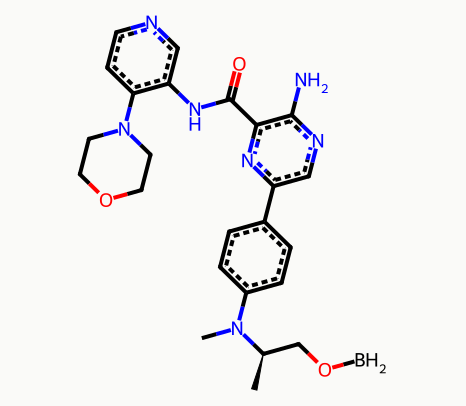 BOC[C@@H](C)N(C)c1ccc(-c2cnc(N)c(C(=O)Nc3cnccc3N3CCOCC3)n2)cc1